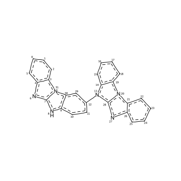 c1ccc2c(c1)nc1[nH]c3ccc(-n4c5ccccc5n5c6ccccc6nc45)cc3n12